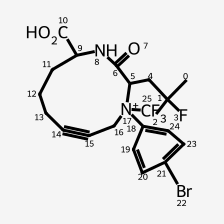 CC(C)(F)CC1C(=O)NC(C(=O)O)CCCC#CC[N+]1(c1ccc(Br)cc1)C(F)(F)F